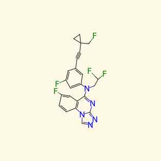 FCC1(C#Cc2cc(F)cc(N(CC(F)F)c3nc4nncn4c4ccc(F)cc34)c2)CC1